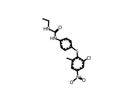 CCNC(=O)Nc1ccc(Sc2c(C)cc([N+](=O)[O-])cc2Cl)cc1